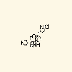 O=C1[C@@H](Cc2ccc(Cl)nc2)CCCN1c1[nH]nc(-c2ccncc2)c1F